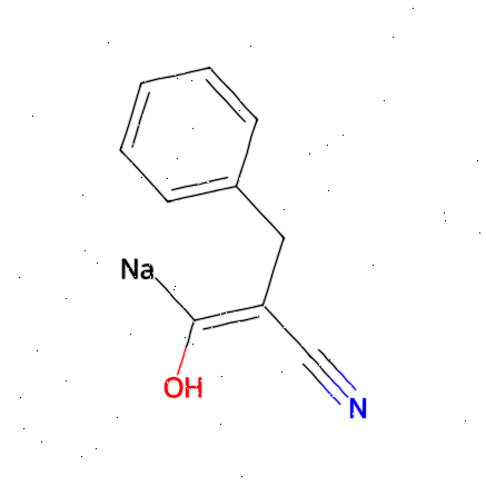 N#CC(Cc1ccccc1)=[C](O)[Na]